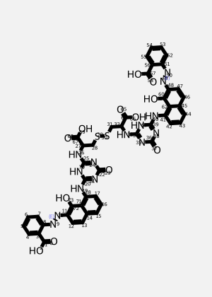 O=C(O)c1ccccc1/N=N/c1ccc2cccc(Nc3nc(=O)nc(NC(CSSCC(Nc4nc(=O)nc(Nc5cccc6ccc(/N=N/c7ccccc7C(=O)O)c(O)c56)[nH]4)C(=O)O)C(=O)O)[nH]3)c2c1O